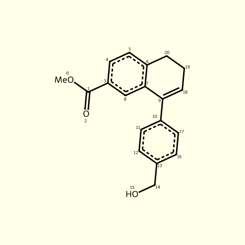 COC(=O)c1ccc2c(c1)C(c1ccc(CO)cc1)=CCC2